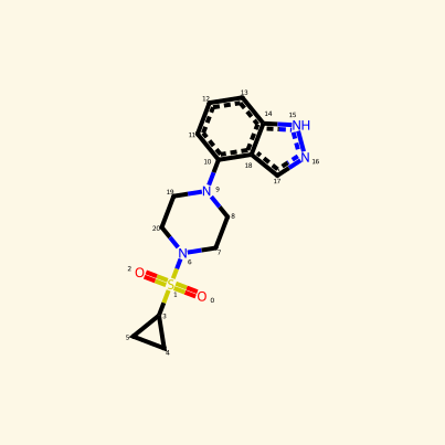 O=S(=O)(C1CC1)N1CCN(c2cccc3[nH]ncc23)CC1